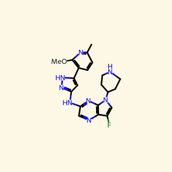 COc1nc(C)ccc1-c1cc(Nc2cnc3c(F)cn(C4CCNCC4)c3n2)n[nH]1